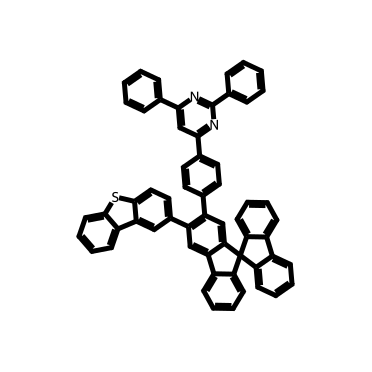 c1ccc(-c2cc(-c3ccc(-c4cc5c(cc4-c4ccc6sc7ccccc7c6c4)-c4ccccc4C54c5ccccc5-c5ccccc54)cc3)nc(-c3ccccc3)n2)cc1